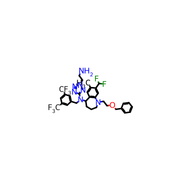 Cc1cc2c(cc1C(F)F)N(CCOCc1ccccc1)CCCC2N(Cc1cc(C(F)(F)F)cc(C(F)(F)F)c1)c1nnn(CCN)n1